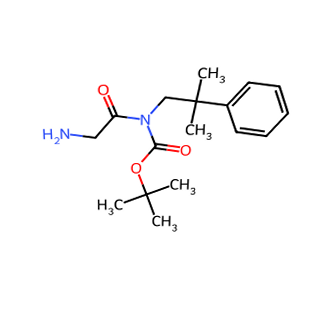 CC(C)(C)OC(=O)N(CC(C)(C)c1ccccc1)C(=O)CN